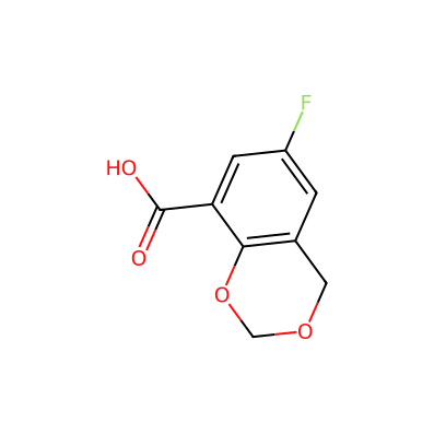 O=C(O)c1cc(F)cc2c1OCOC2